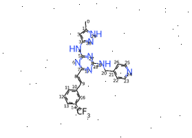 Cc1cc(Nc2nc(/C=C/c3cccc(C(F)(F)F)c3)nc(NCc3ccncc3)n2)n[nH]1